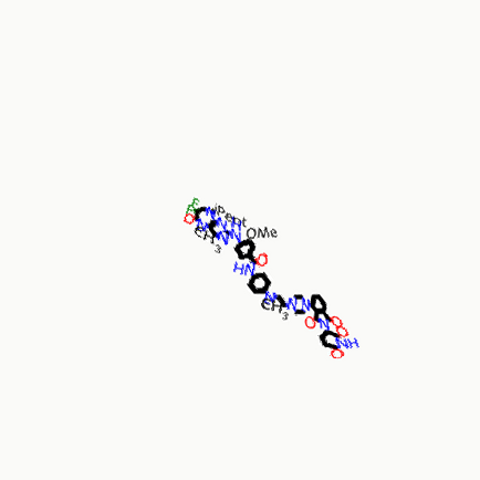 CCCC(C)N1CC(F)(F)C(=O)N(C)c2cnc(Nc3ccc(C(=O)N[C@H]4CC[C@@H](N(C)CCN5CCN(c6cccc7c6C(=O)N(C6CCC(=O)NC6=O)C7=O)CC5)CC4)cc3OC)nc21